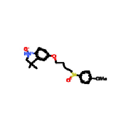 COc1ccc([S+]([O-])CCCCOc2ccc3c(c2)C(C)(C)C[NH+]3[O-])cc1